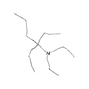 CCCC(CC)(CC)N(CC)CC